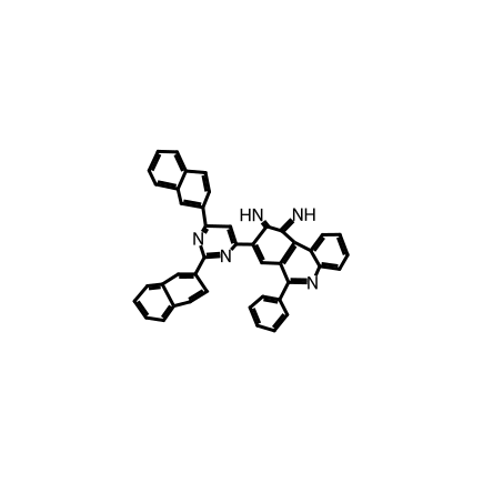 N=C1C(=N)c2c(c(-c3ccccc3)nc3ccccc23)C=C1c1cc(-c2ccc3ccccc3c2)nc(-c2ccc3ccccc3c2)n1